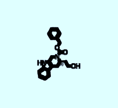 O=C(OCc1ccccc1)N1Cc2[nH]c3ccccc3c2C[C@@H]1CCO